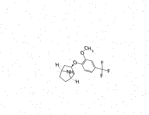 COc1cc(C(F)(F)F)ccc1O[C@H]1C[C@H]2CC[C@@H](C1)N2